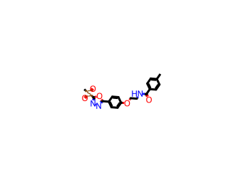 Cc1ccc(C(=O)NCCOc2ccc(-c3nnc(S(C)(=O)=O)o3)cc2)cc1